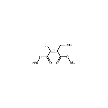 CCCCOC(=O)/C(CC)=C(/CC(C)(C)C)C(=O)OCCCC